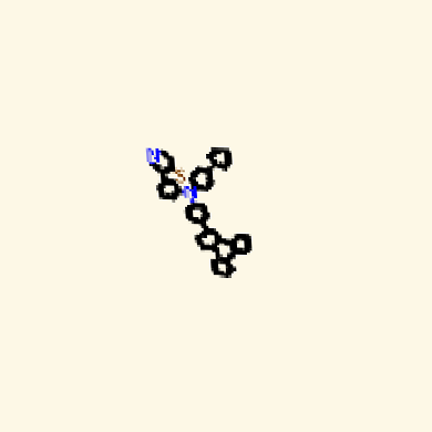 c1ccc(-c2ccc(N(c3ccc(-c4ccc5c6ccccc6c6ccccc6c5c4)cc3)c3cccc4c3sc3ccncc34)cc2)cc1